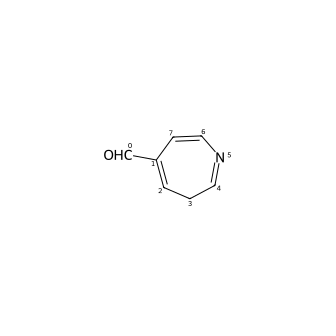 O=CC1=CCC=NC=C1